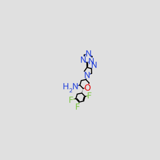 NC1CC(N2Cc3nn4cncnc4c3C2)CO[C@@H]1C1CC(F)=C(F)C=C1F